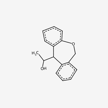 CC(O)C1c2ccccc2COc2ccccc21